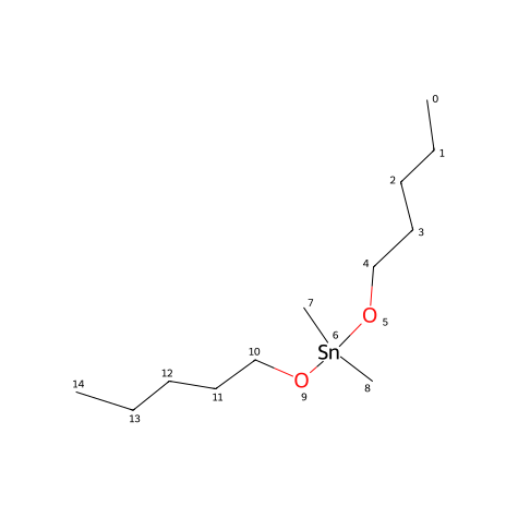 CCCCC[O][Sn]([CH3])([CH3])[O]CCCCC